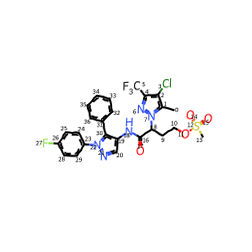 Cc1c(Cl)c(C(F)(F)F)nn1C(CCOS(C)(=O)=O)C(=O)Nc1cnn(-c2ccc(F)cc2)c1-c1ccccc1